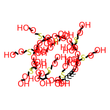 OCCOCCSCC1OC2OC3C(CSCCOCCO)OC(OC4C(CSCCOCCO)OC(OC5C(CSCCOCCO)OC(OC6C(CSCCOCCO)OC(OC7C(CSCCOCCO)OC(OC8C(CSCCOCCO)OC(OC9C(CSCCOCCO)OC(OCCCCC1C(O)C2O)C(O)C9O)C(O)C8O)C(O)C7O)C(O)C6O)C(O)C5O)C(O)C4O)C(O)C3O